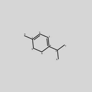 CC1=CC=C(C(C)C)CC1